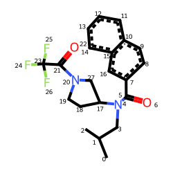 CC(C)CN(C(=O)c1ccc2ccccc2c1)C1CCN(C(=O)C(F)(F)F)C1